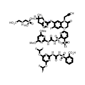 C#CCN1C(=O)COc2cc(F)c(/N=c3\snc4n3CC(C)(C)C4)cc21.CCS(=O)(=O)c1cccnc1S(=O)(=O)NC(=O)Nc1nc(OC)cc(OC)n1.O=C(Nc1nc(OC(F)F)cc(OC(F)F)n1)NS(=O)(=O)c1ccccc1C(=O)O.O=C(O)CNCP(=O)(O)O